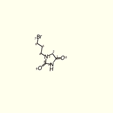 O=C1CN(CCCBr)C(=O)N1